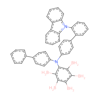 Bc1c(B)c(B)c(N(c2ccc(-c3ccccc3)cc2)c2ccc(-c3ccccc3-n3c4ccccc4c4ccccc43)cc2)c(B)c1B